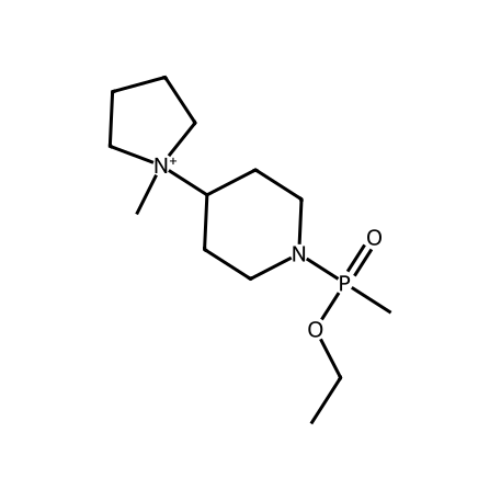 CCOP(C)(=O)N1CCC([N+]2(C)CCCC2)CC1